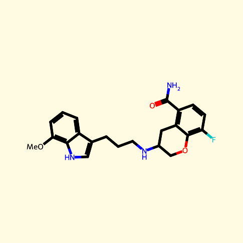 COc1cccc2c(CCCNC3COc4c(F)ccc(C(N)=O)c4C3)c[nH]c12